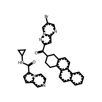 O=C(NC1CC1)c1ccc2cnccn12.O=C(c1cc2ncc(Br)cn2n1)C1CCc2c(ccc3c2ccc2ccccc23)C1